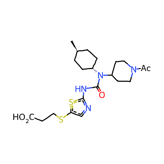 CC(=O)N1CCC(N(C(=O)Nc2ncc(SCCC(=O)O)s2)[C@H]2CC[C@H](C)CC2)CC1